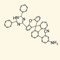 N#Cc1cc(N)ccc1-c1cccc2c1-c1ccccc1C21c2ccccc2Oc2c(C3=NC(c4ccccc4)NC(c4ccccc4)=N3)cccc21